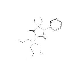 CCC[Si](CCC)(CCC)N1C(=O)N(c2ccccc2)C(CC)(CC)C1=O